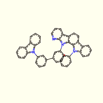 c1ccc(-n2c3ccccc3c3ccc4c5cccnc5n(-c5cccc(-c6cccc(-n7c8ccccc8c8ccccc87)c6)c5)c4c32)cc1